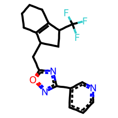 FC(F)(F)C1CC(Cc2nc(-c3cccnc3)no2)C2=C1CCCC2